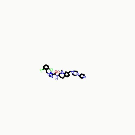 CN1C(=O)[C@H](NC(=O)c2ncn(Cc3c(Cl)cccc3Cl)n2)CCc2ccc(CN3CCN(c4ccncc4)CC3)cc21